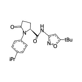 CC(C)c1ccc(N2C(=O)CC[C@H]2C(=O)Nc2cc(C(C)(C)C)on2)cc1